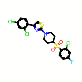 O=S(=O)(c1ccc(F)cc1Cl)C1CCN(c2nc(-c3ccc(Cl)cc3Cl)cs2)CC1